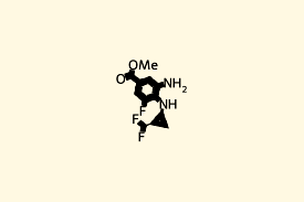 COC(=O)c1cc(N)c(N[C@H]2C[C@@H]2C(F)F)c(F)c1